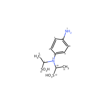 CC(N(c1ccc(N)cc1)C(C)S(=O)(=O)O)S(=O)(=O)O